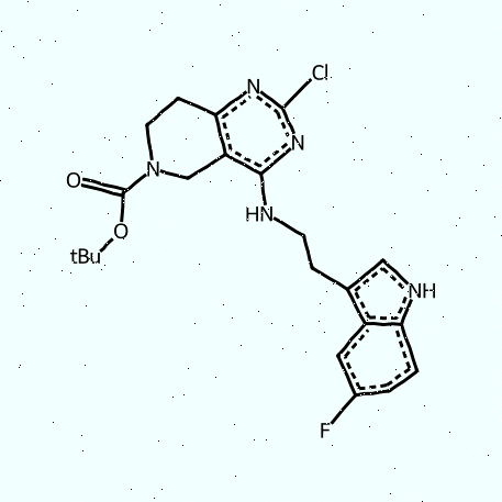 CC(C)(C)OC(=O)N1CCc2nc(Cl)nc(NCCc3c[nH]c4ccc(F)cc34)c2C1